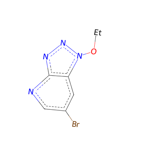 CCOn1nnc2ncc(Br)cc21